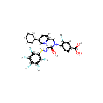 O=C(O)c1ccc(N(Cc2ccc(C3CCCCC3)cn2)C(=O)CNSc2c(F)c(F)c(F)c(F)c2F)c(F)c1